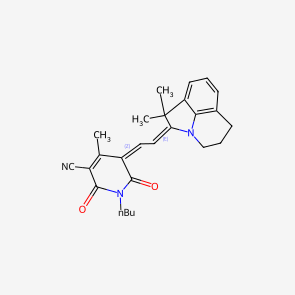 CCCCN1C(=O)C(C#N)=C(C)/C(=C/C=C2/N3CCCc4cccc(c43)C2(C)C)C1=O